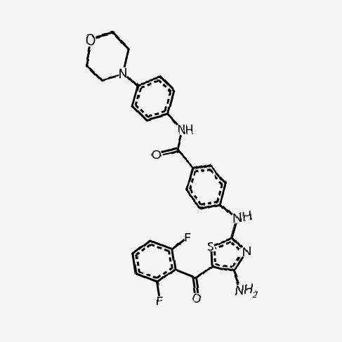 Nc1nc(Nc2ccc(C(=O)Nc3ccc(N4CCOCC4)cc3)cc2)sc1C(=O)c1c(F)cccc1F